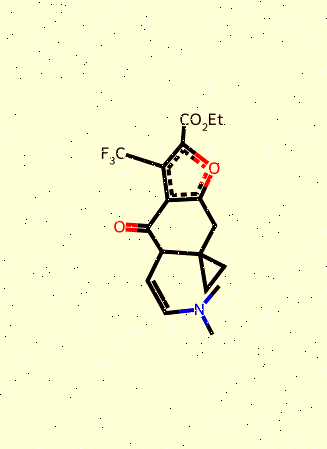 CCOC(=O)c1oc2c(c1C(F)(F)F)C(=O)C(/C=C\N(C)C)C1(CC1)C2